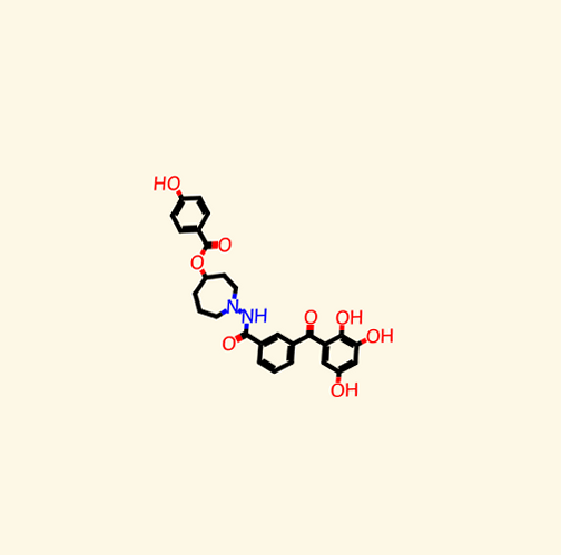 O=C(NN1CCCC(OC(=O)c2ccc(O)cc2)CC1)c1cccc(C(=O)c2cc(O)cc(O)c2O)c1